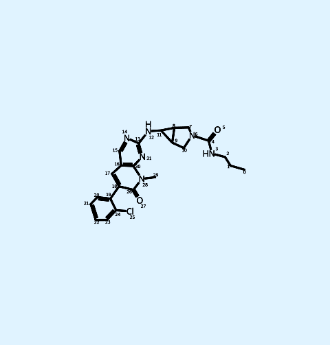 CCCNC(=O)N1CC2C(C1)C2Nc1ncc2cc(-c3ccccc3Cl)c(=O)n(C)c2n1